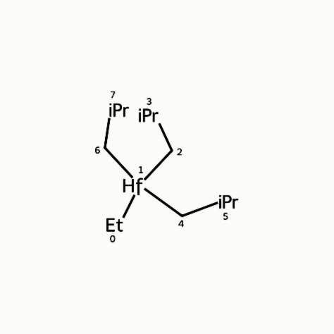 C[CH2][Hf]([CH2]C(C)C)([CH2]C(C)C)[CH2]C(C)C